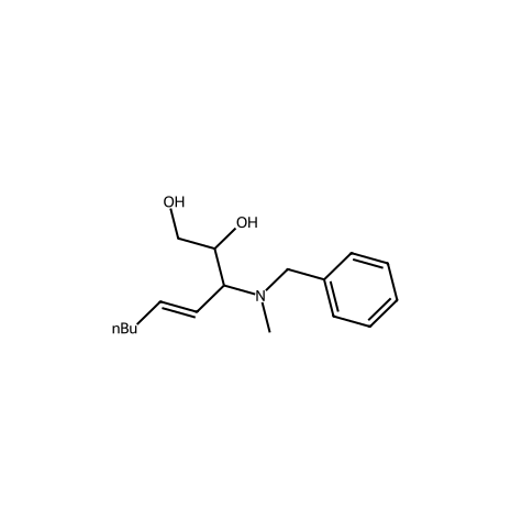 CCCC/C=C/C(C(O)CO)N(C)Cc1ccccc1